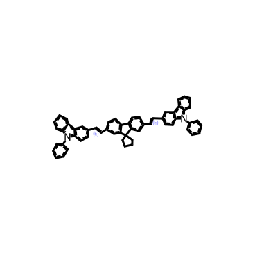 C(=C\c1ccc2c(c1)c1ccccc1n2-c1ccccc1)/c1ccc2c(c1)C1(CCCC1)c1cc(/C=C/c3ccc4c(c3)c3ccccc3n4-c3ccccc3)ccc1-2